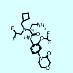 NC[C@@H](C(=O)Nc1ccc(N2CCOCC2=O)cc1OC(F)F)N(CC(F)F)CC1CCC1